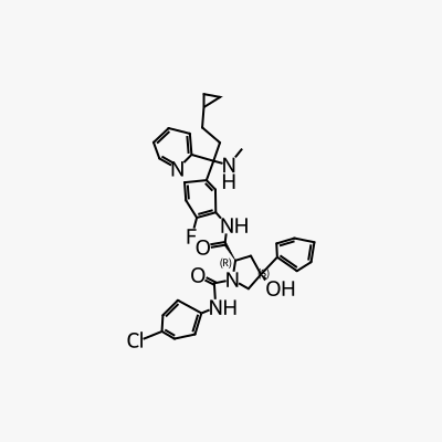 CNC(CCC1CC1)(c1ccc(F)c(NC(=O)[C@H]2C[C@](O)(c3ccccc3)CN2C(=O)Nc2ccc(Cl)cc2)c1)c1ccccn1